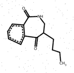 CCCCC1CNC(=O)c2ccccc2C1=O